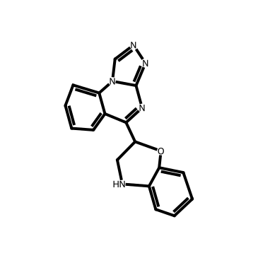 c1ccc2c(c1)NCC(c1nc3nncn3c3ccccc13)O2